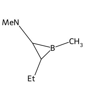 CCC1B(C)C1NC